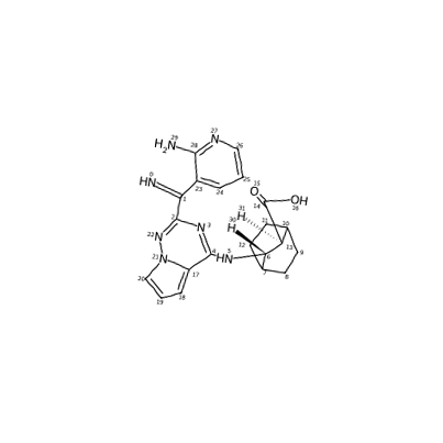 N=C(c1nc(N[C@H]2C3CCC(CC3)[C@@H]2C(=O)O)c2cccn2n1)c1cccnc1N